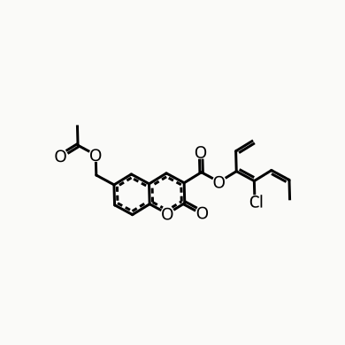 C=C/C(OC(=O)c1cc2cc(COC(C)=O)ccc2oc1=O)=C(Cl)\C=C/C